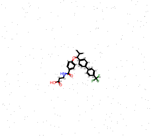 CC(C)C(Oc1ccc(C(=O)NCCC(=O)O)cc1)c1ccc(-c2ccc(C(F)(F)F)cc2)cc1